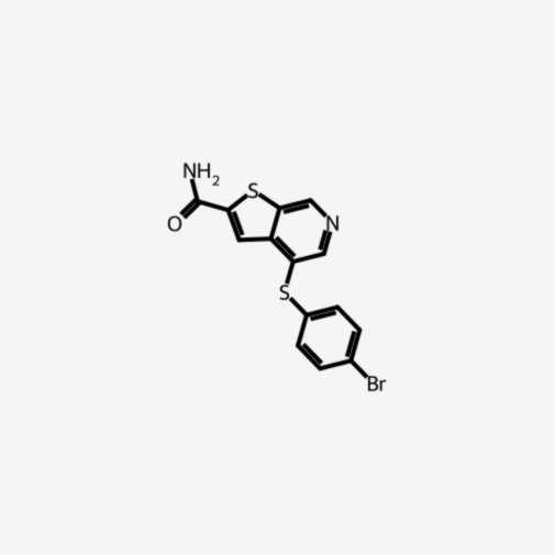 NC(=O)c1cc2c(Sc3ccc(Br)cc3)cncc2s1